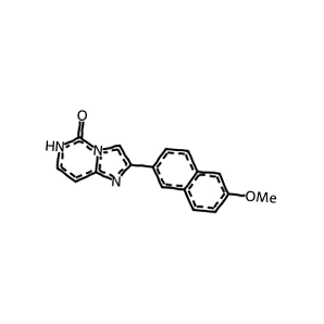 COc1ccc2cc(-c3cn4c(=O)[nH]ccc4n3)ccc2c1